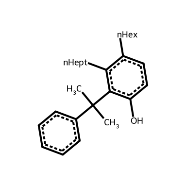 CCCCCCCc1c(CCCCCC)ccc(O)c1C(C)(C)c1ccccc1